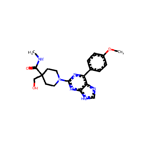 CNC(=O)C1(CO)CCN(c2nc(-c3ccc(OC)cc3)c3nc[nH]c3n2)CC1